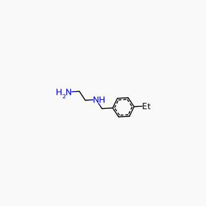 [CH2]Cc1ccc(CNCCN)cc1